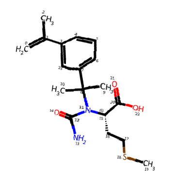 C=C(C)c1cccc(C(C)(C)N(C(N)=O)[C@@H](CCSC)C(=O)O)c1